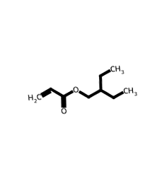 C=CC(=O)OCC(CC)CC